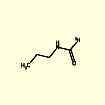 [3H]C(=O)NCCC